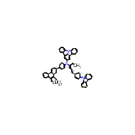 C=CC1=C(C=C)C2CC(C3=CC=C(N(/C(C=C)=C/C=C/c4ccc(-n5c6ccccc6c6ccccc65)cc4)c4cc5c6ccccc6n6c7ccccc7c(c4)c56)CC3)=CC=C2C2=CC=CCC21